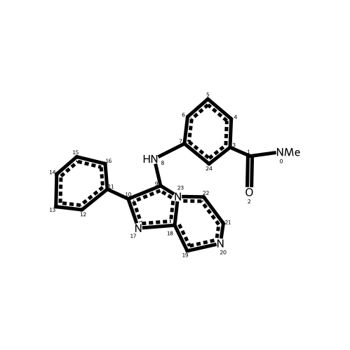 CNC(=O)c1cccc(Nc2c(-c3ccccc3)nc3cnccn23)c1